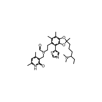 CCC(CCCC1(C)Oc2c(C)c(C)c(CCN(C=O)Cc3c(C)cc(C)[nH]c3=O)c(-c3cncs3)c2O1)N(C)C